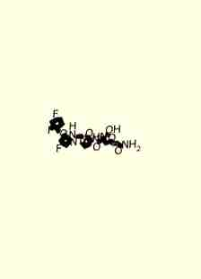 NC(=O)/C=C/CCC(NC(=O)O)C(=O)Nc1cccn(Cc2nc3cc(F)cc(OCc4ccc(F)cc4F)c3[nH]2)c1=O